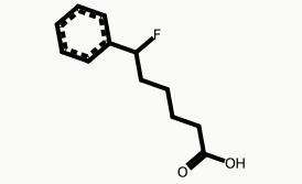 O=C(O)CCCCC(F)c1ccccc1